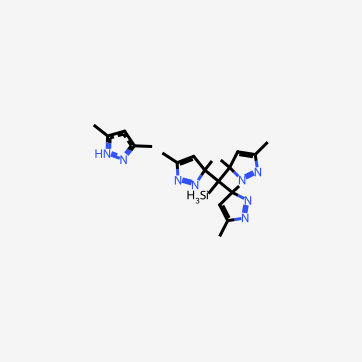 CC1=CC(C)(C([SiH3])(C2(C)C=C(C)N=N2)C2(C)C=C(C)N=N2)N=N1.Cc1cc(C)[nH]n1